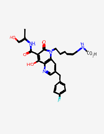 CC(CO)NC(=O)c1c(O)c2ncc(Cc3ccc(F)cc3)cc2n(CCCCNC(=O)O)c1=O